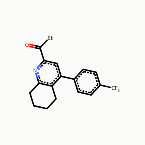 CCC(=O)c1cc(-c2ccc(C(F)(F)F)cc2)c2c(n1)CCCC2